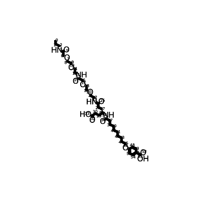 CCCNC(=O)COCCOCCNC(=O)COCCOCCNC(=O)CC[C@H](CCC(=O)O)NC(=O)CCCCCCCCCOc1ccc(C(=O)O)cc1